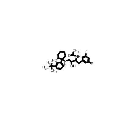 CC(=O)NC(Cc1cc(F)cc(F)c1)C(O)CNC1(c2cccc(C(C)(C)C)c2)CCCCC1O